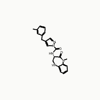 Cc1cccc(Cc2cnn(C(=O)N[C@H]3CNc4ccccc4N(C)C3=O)c2)c1